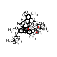 COc1cc2c(cc1OC(=O)OC(C)(C)C)CCN[C@]21CS[C@@H]2c3c(OC(=O)OC(C)(C)C)c(C)c4c(c3[C@H](COC1=O)N1C2[C@H]2c3c(cc(C)c(OC)c3OC(=O)OC(C)(C)C)C[C@@H]([C@@H]1C#N)N2C)OCO4